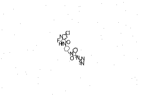 O=C(N[C@H]1CC[C@H](CN2C(=O)C3(CN(c4ncns4)C3)c3ccccc32)CC1)c1cc(Cl)cnc1C(F)F